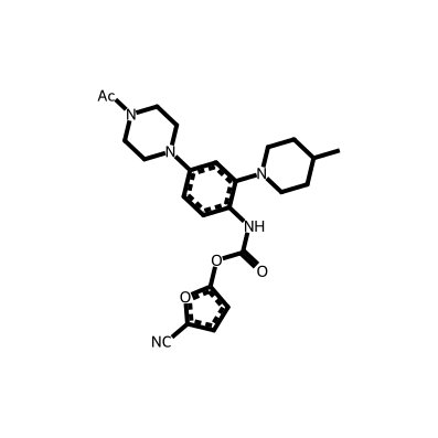 CC(=O)N1CCN(c2ccc(NC(=O)Oc3ccc(C#N)o3)c(N3CCC(C)CC3)c2)CC1